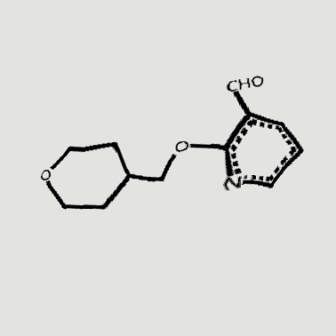 O=Cc1cccnc1OCC1CCOCC1